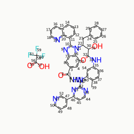 CNC(=O)c1ccc2c(c1)nc(-c1cccc3cccnc13)n2C(Cc1ccccc1)C(O)C(=O)Nc1ccc(C)c(Nc2nccc(-c3cccnc3)n2)c1.O=C(O)C(F)(F)F